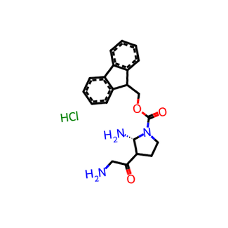 Cl.NCC(=O)C1CCN(C(=O)OCC2c3ccccc3-c3ccccc32)[C@H]1N